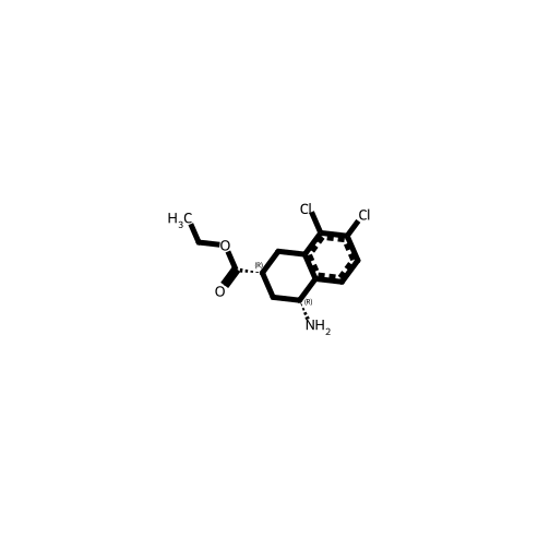 CCOC(=O)[C@@H]1Cc2c(ccc(Cl)c2Cl)[C@H](N)C1